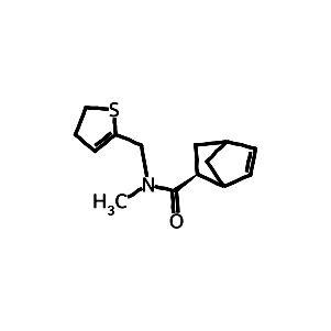 CN(CC1=CCCS1)C(=O)[C@H]1CC2C=CC1C2